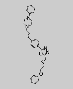 C(=Cc1ccc(-c2nnc(CSCCOc3ccccc3)o2)cc1)CN1CCN(c2ccccc2)CC1